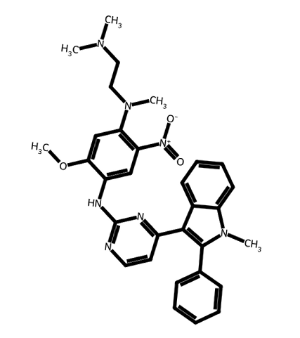 COc1cc(N(C)CCN(C)C)c([N+](=O)[O-])cc1Nc1nccc(-c2c(-c3ccccc3)n(C)c3ccccc23)n1